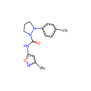 CC(C)(C)c1cc(NC(=O)N2CCCN2c2ccc(C#N)cc2)on1